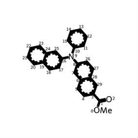 COC(=O)c1ccc2cc(N(c3ccccc3)c3ccc4ccccc4c3)ccc2c1